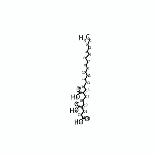 CCCCCCCCCCCCCCCCC(CCCC(CCC(=O)O)C(=O)O)C(=O)O